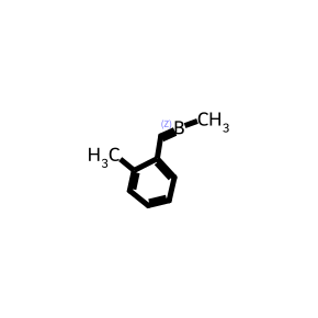 C/B=C\c1ccccc1C